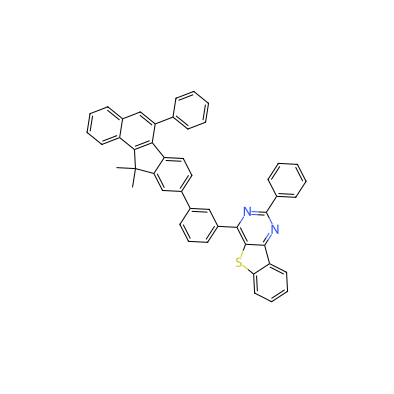 CC1(C)c2cc(-c3cccc(-c4nc(-c5ccccc5)nc5c4sc4ccccc45)c3)ccc2-c2c(-c3ccccc3)cc3ccccc3c21